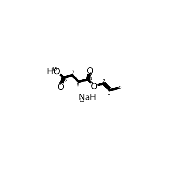 CC=COC(=O)CCC(=O)O.[NaH]